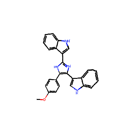 COc1ccc(-c2[nH]c(-c3c[nH]c4ccccc34)nc2-c2c[nH]c3ccccc23)cc1